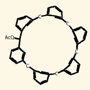 CC(=O)OC1c2cccc(c2)Cc2cccc(c2)Cc2cccc(c2)Cc2cccc(c2)Cc2cccc(c2)Cc2cccc1c2